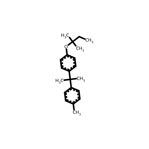 CCC(C)(C)Oc1ccc(C(C)(C)c2ccc(C)cc2)cc1